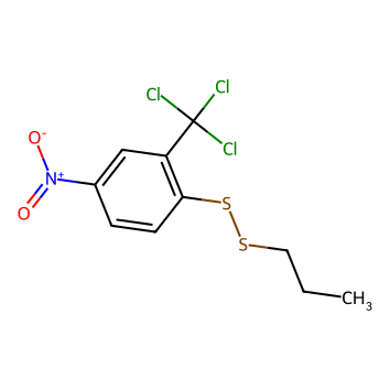 CCCSSc1ccc([N+](=O)[O-])cc1C(Cl)(Cl)Cl